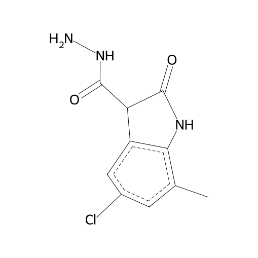 Cc1cc(Cl)cc2c1NC(=O)C2C(=O)NN